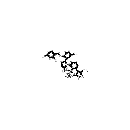 Cc1noc(C)c1-c1cccc(-n2c(C)ccc2-c2cc(Cl)ccc2OCc2ccc(F)cc2F)c1S(=O)(=O)NC=O